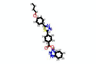 CCCCOc1ccc(-c2nnc(-c3ccc(C(=O)On4nnc5ccccc54)cc3)s2)cc1